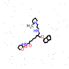 CC1CCCCN1CCCNC/C(=C/CCCCC(=O)NOC1CCCCO1)COc1cccc2ccccc12